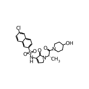 C[C@@H](C(=O)N1CCC(O)CC1)N1CC=C(NS(=O)(=O)c2ccc3cc(Cl)ccc3c2)C1=O